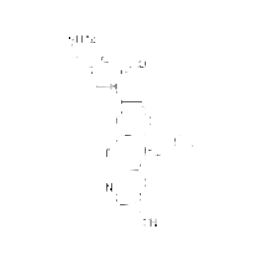 CC=C(c1cncc(C#N)c1)c1ccc(N2C[C@H](CNC(C)=O)OC2=O)cc1F